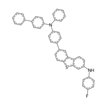 Fc1ccc(Nc2ccc3c(c2)sc2ccc(-c4ccc(N(c5ccccc5)c5ccc(-c6ccccc6)cc5)cc4)cc23)cc1